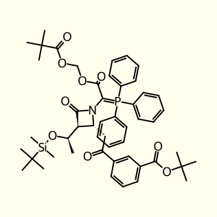 C[C@@H](O[Si](C)(C)C(C)(C)C)[C@H]1C(=O)N(C(C(=O)OCOC(=O)C(C)(C)C)=P(c2ccccc2)(c2ccccc2)c2ccccc2)[C@@H]1CC(=O)c1cccc(C(=O)OC(C)(C)C)c1